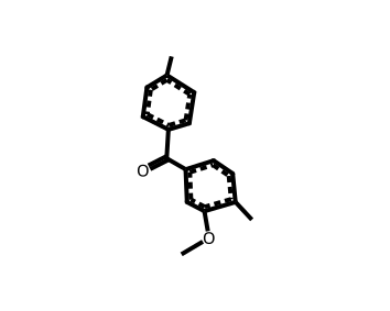 COc1cc(C(=O)c2ccc(C)cc2)ccc1C